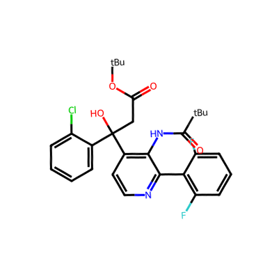 CC(C)(C)OC(=O)CC(O)(c1ccccc1Cl)c1ccnc(-c2c(F)cccc2F)c1NC(=O)C(C)(C)C